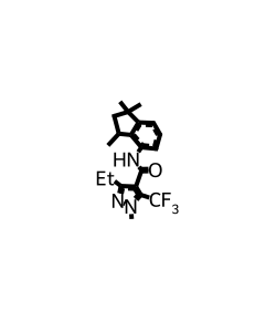 CCc1nn(C)c(C(F)(F)F)c1C(=O)Nc1cccc2c1C(C)CC2(C)C